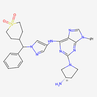 CC(C)n1cnc2c(Nc3cnn(C(c4ccccc4)C4CCS(=O)(=O)CC4)c3)nc(N3CC[C@H](N)C3)nc21